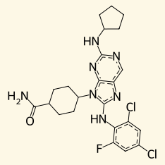 NC(=O)C1CCC(n2c(Nc3c(F)cc(Cl)cc3Cl)nc3cnc(NC4CCCC4)nc32)CC1